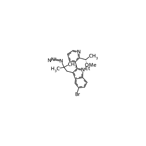 CCn1c(-c2cccnc2[C@H](C)OC)c(CC(C)(C)N=[N+]=[N-])c2cc(Br)ccc21